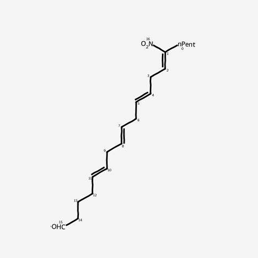 CCCCC/C(=C/C/C=C/C/C=C/C/C=C/CCC[C]=O)[N+](=O)[O-]